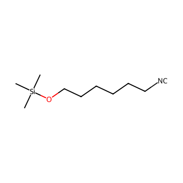 [C-]#[N+]CCCCCCO[Si](C)(C)C